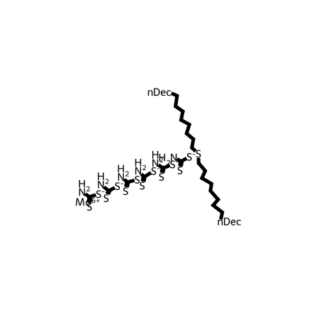 CCCCCCCCCCCCCCCCCCSCCCCCCCCCCCCCCCCCC.NC(=S)[S-].NC(=S)[S-].NC(=S)[S-].NC(=S)[S-].NC(=S)[S-].NC(=S)[S-].[Mo+6]